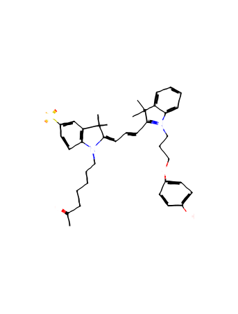 CC(=O)CCCCCN1/C(=C/C=C/C2=[N+](CCCOc3ccc(O)cc3)c3ccccc3C2(C)C)C(C)(C)c2cc(S(=O)(=O)[O-])ccc21